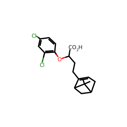 CC1(C)C2CC=C(CCC(Oc3ccc(Cl)cc3Cl)C(=O)O)C1C2